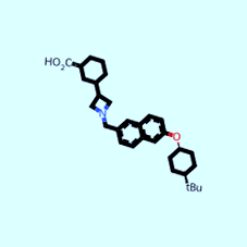 CC(C)(C)[C@H]1CC[C@H](Oc2ccc3cc(CN4CC(C5CCCC(C(=O)O)C5)C4)ccc3c2)CC1